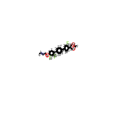 C/C=C/COc1ccc(-c2ccc(-c3ccc(C4COC(C)OC4)c(F)c3)cc2)c(F)c1F